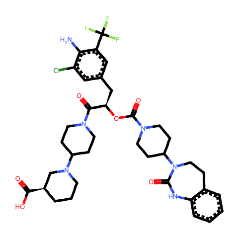 Nc1c(Cl)cc(C[C@@H](OC(=O)N2CCC(N3CCc4ccccc4NC3=O)CC2)C(=O)N2CCC(N3CCC[C@@H](C(=O)O)C3)CC2)cc1C(F)(F)F